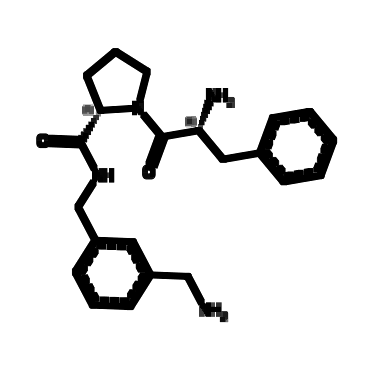 NCc1cccc(CNC(=O)[C@@H]2CCCN2C(=O)[C@H](N)Cc2ccccc2)c1